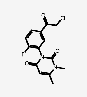 Cc1cc(=O)n(-c2cc(C(=O)CCl)ccc2F)c(=O)n1C